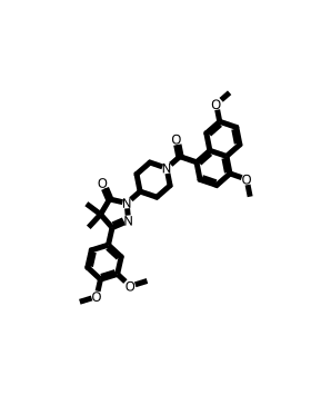 COc1ccc2c(OC)ccc(C(=O)N3CCC(N4N=C(c5ccc(OC)c(OC)c5)C(C)(C)C4=O)CC3)c2c1